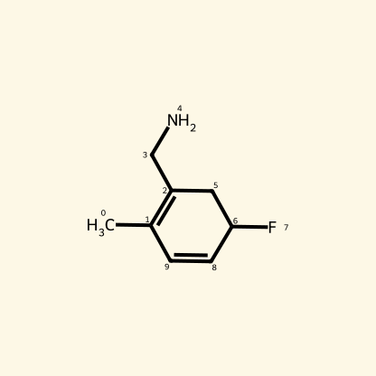 CC1=C(CN)CC(F)C=C1